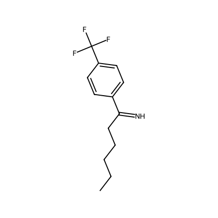 CCCCCC(=N)c1ccc(C(F)(F)F)cc1